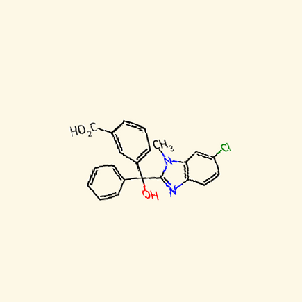 Cn1c(C(O)(c2ccccc2)c2cccc(C(=O)O)c2)nc2ccc(Cl)cc21